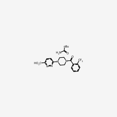 CCCCC(N)=O.O=C(O)c1ccc(N2CCN(C(=O)c3ccccc3C(F)(F)F)CC2)nn1